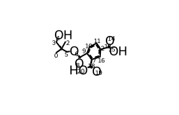 CC(C)(CO)COC(=O)c1ccc(C(=O)O)cc1C(=O)O